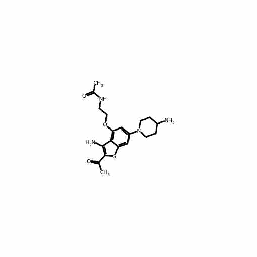 CC(=O)NCCOc1cc(N2CCC(N)CC2)cc2sc(C(C)=O)c(N)c12